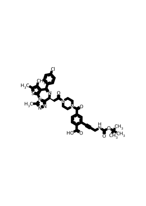 Cc1sc2c(c1C)C(c1ccc(Cl)cc1)=N[C@@H](CC(=O)N1CCN(C(=O)c3ccc(C(=O)O)c(C#CCNC(=O)OC(C)(C)C)c3)CC1)c1nnc(C)n1-2